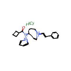 Cl.O=C(C1CCC1)N(C1CCN(CCc2ccccc2)CC1)n1cccc1